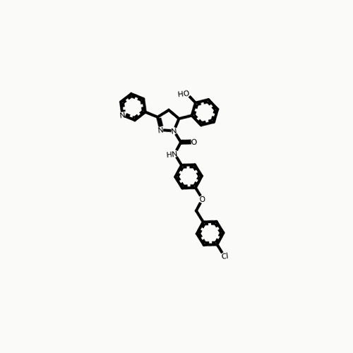 O=C(Nc1ccc(OCc2ccc(Cl)cc2)cc1)N1N=C(c2cccnc2)CC1c1ccccc1O